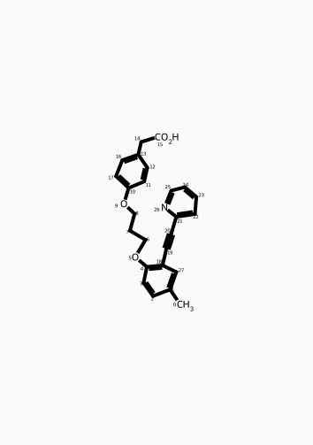 Cc1ccc(OCCCOc2ccc(CC(=O)O)cc2)c(C#Cc2ccccn2)c1